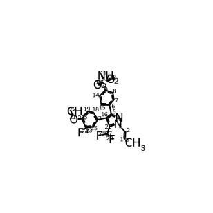 CC=Cn1nc(-c2ccc(S(N)(=O)=O)cc2)c(-c2ccc(OC)c(F)c2)c1C(F)F